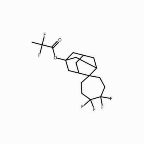 CC(F)(F)C(=O)OC12CC3CC(C1)C1(CCC(F)(F)C(F)(F)CC1)C(C3)C2